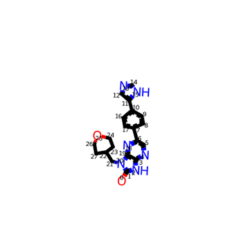 O=c1[nH]c2ncc(-c3ccc(-c4cnc[nH]4)cc3)nc2n1CC1CCOCC1